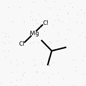 [CH2]C(C)C.[Cl][Mg][Cl]